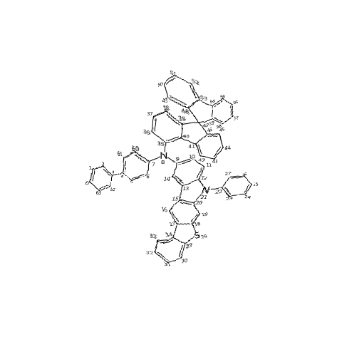 c1ccc(-c2ccc(N(c3ccc4c(c3)c3cc5c(cc3n4-c3ccccc3)sc3ccccc35)c3cccc4c3-c3ccccc3C43c4ccccc4-c4ccccc43)cc2)cc1